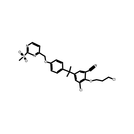 CC(C)(c1ccc(OCc2ccnc(S(C)(=O)=O)n2)cc1)c1cc(Cl)c(OCCCCl)c(C#N)c1